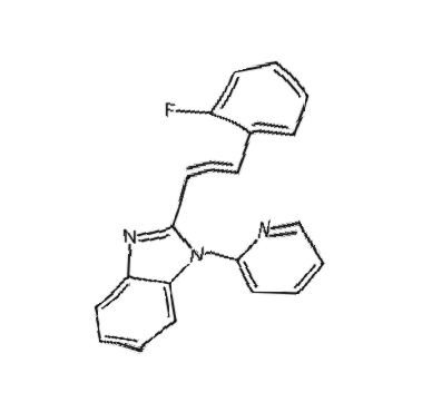 Fc1ccccc1C=Cc1nc2ccccc2n1-c1ccccn1